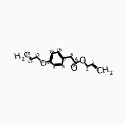 C=CCOC(=O)Cc1ccc(OCC=C)cc1